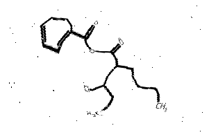 CCCCC(C(=O)OC(=O)c1ccccc1)C(Cl)CC